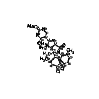 COc1ncc(-c2nc3c(n2C(C)C)C(C)(c2ccc(Cl)cc2C)N(c2cc(Cl)ccc2C)C3=O)c(O)n1